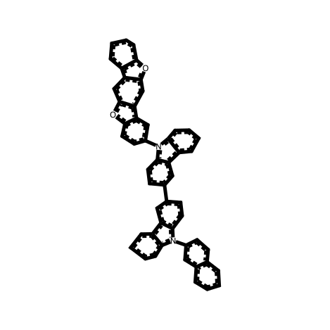 c1ccc2cc(-n3c4ccccc4c4cc(-c5ccc6c(c5)c5ccccc5n6-c5ccc6oc7cc8c(cc7c6c5)oc5ccccc58)ccc43)ccc2c1